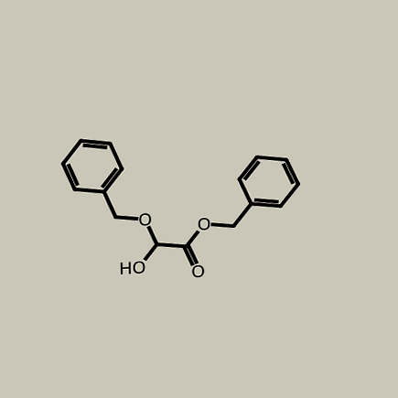 O=C(OCc1ccccc1)C(O)OCc1ccccc1